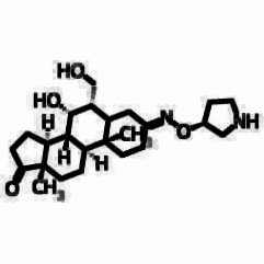 C[C@]12CCC(=NO[C@H]3CCNC3)CC1[C@@H](CO)[C@@H](O)[C@@H]1[C@@H]2CC[C@]2(C)C(=O)CC[C@@H]12